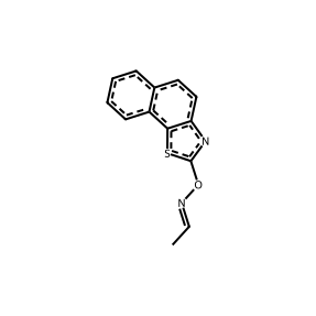 C/C=N/Oc1nc2ccc3ccccc3c2s1